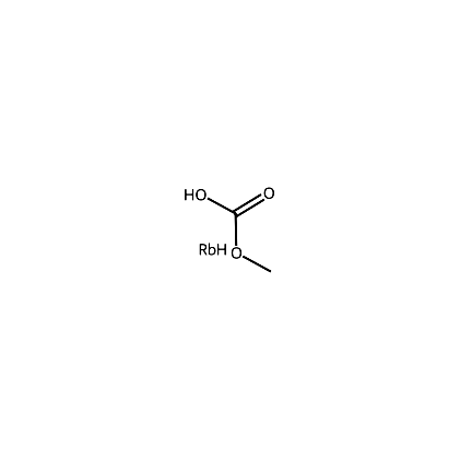 COC(=O)O.[RbH]